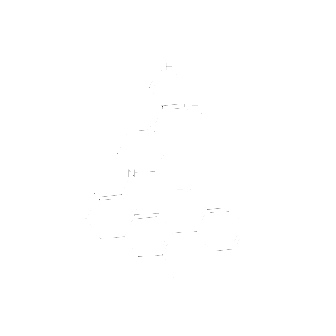 C=CC(=C)N1CCN(c2nccc3cc(Cl)c(-c4ccccc4C)cc23)CC1